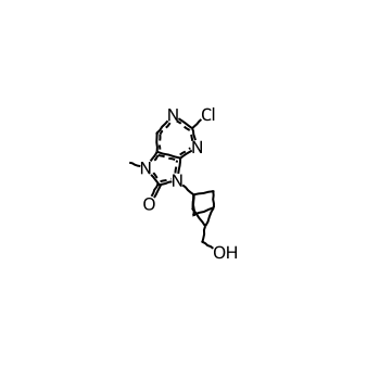 Cn1c(=O)n(C23CC(CO)C(C2)C3)c2nc(Cl)ncc21